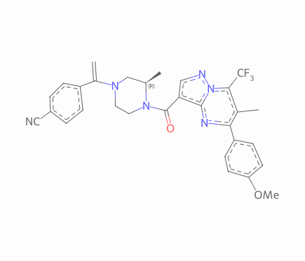 C=C(c1ccc(C#N)cc1)N1CCN(C(=O)c2cnn3c(C(F)(F)F)c(C)c(-c4ccc(OC)cc4)nc23)[C@H](C)C1